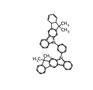 CC1(C)c2ccccc2-c2cc3c4ccccc4n(-c4cccc(-n5c6ccccc6c6cc7c(cc65)C(C)(C)C5C=CC=CC75)c4)c3cc21